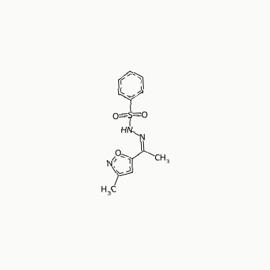 CC(=NNS(=O)(=O)c1ccccc1)c1cc(C)no1